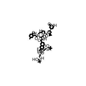 Cc1ccc2onc(C(=O)N3CC[C@H]4CC[C@@H](C(=O)N5C[C@@H](c6cc[nH]c(=O)c6)CC56CC6)N4C(=O)[C@@H](NC(=O)c4ccc5ccc(C(F)(F)P(=O)(OCC[SH]=C(O)C(C)(C)C)OCC[SH]=C(O)C(C)(C)C)cc5c4)C3)c2c1